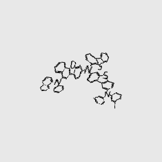 CC1C=C(N(c2ccccc2)c2ccc3sc4cc(N(c5ccc6c(c5)oc5c7ccccc7c(N(c7ccccc7)c7cccc8ccccc78)cc65)c5cccc6c5sc5ccccc56)ccc4c3c2)C=CC1